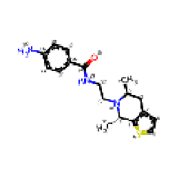 C[C@H]1Cc2ccsc2[C@H](C)N1CCNC(=O)c1ccc(N)cc1